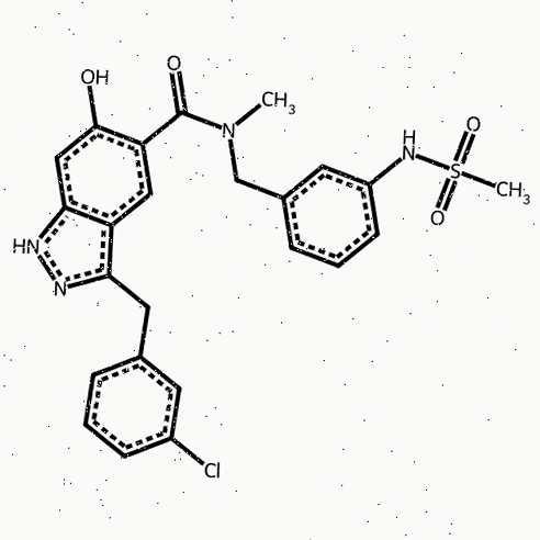 CN(Cc1cccc(NS(C)(=O)=O)c1)C(=O)c1cc2c(Cc3cccc(Cl)c3)n[nH]c2cc1O